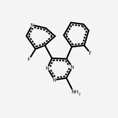 Nc1nnc(-c2ccncc2F)c(-c2ccccc2F)n1